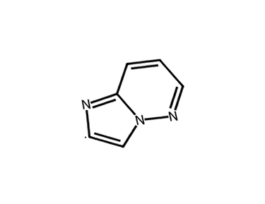 [c]1cn2ncccc2n1